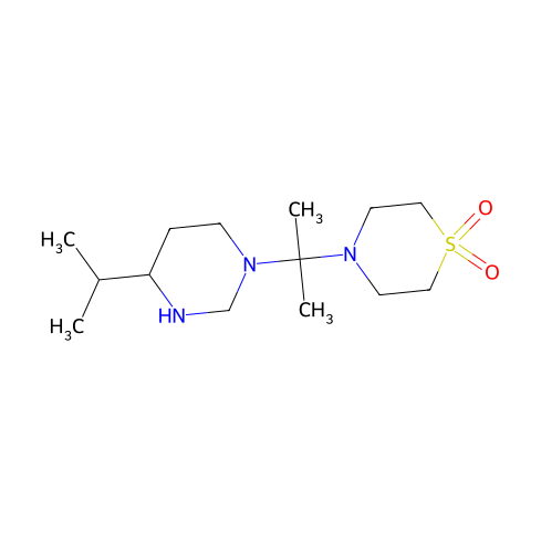 CC(C)C1CCN(C(C)(C)N2CCS(=O)(=O)CC2)CN1